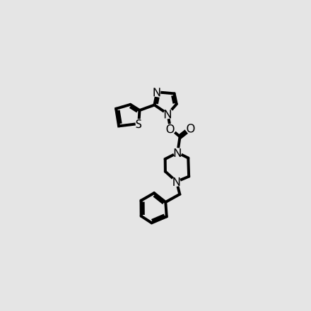 O=C(On1ccnc1-c1cccs1)N1CCN(Cc2ccccc2)CC1